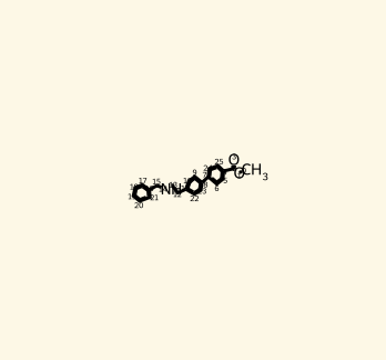 COC(=O)c1ccc(-c2ccc(CCNCc3ccccc3)cc2)cc1